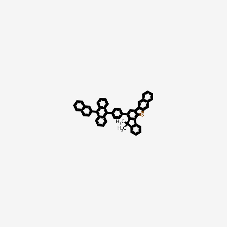 CC1(C)c2ccccc2-c2c1c(-c1ccc(-c3c4ccccc4c(-c4ccc5ccccc5c4)c4ccccc34)cc1)cc1c2sc2cc3ccccc3cc21